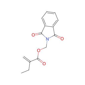 C=C(CC)C(=O)OCN1C(=O)c2ccccc2C1=O